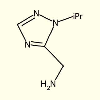 CC(C)n1ncnc1CN